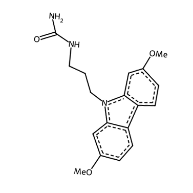 COc1ccc2c3ccc(OC)cc3n(CCCNC(N)=O)c2c1